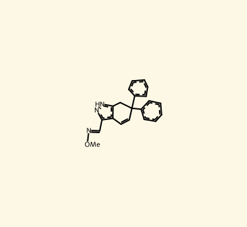 CON=Cc1n[nH]c2c1C=CC(c1ccccc1)(c1ccccc1)C2